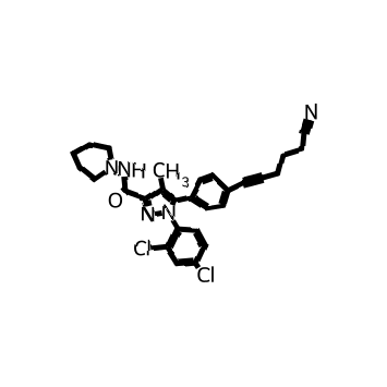 Cc1c(C(=O)NN2CCCCC2)nn(-c2ccc(Cl)cc2Cl)c1-c1ccc(C#CCCCC#N)cc1